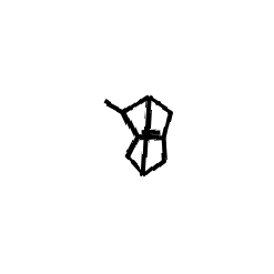 CC1C2=C3CC(C2)C1C3